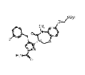 CN1C(=O)[C@@H](c2nn(C(N)=O)cc2Cc2cccc(F)c2)COc2ccc(OCC(=O)O)cc21